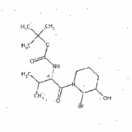 CC(C)[C@H](NC(=O)OC(C)(C)C)C(=O)N1CCCC(O)C1Br